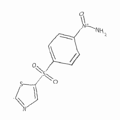 N[N+](=O)c1ccc(S(=O)(=O)c2cn[c]s2)cc1